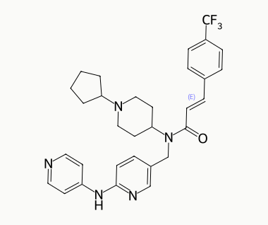 O=C(/C=C/c1ccc(C(F)(F)F)cc1)N(Cc1ccc(Nc2ccncc2)nc1)C1CCN(C2CCCC2)CC1